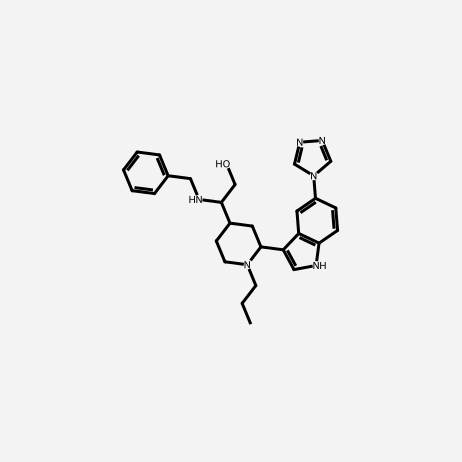 CCCN1CCC(C(CO)NCc2ccccc2)CC1c1c[nH]c2ccc(-n3cnnc3)cc12